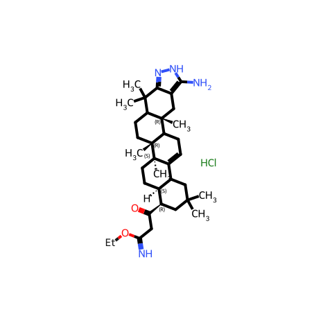 CCOC(=N)CC(=O)[C@@H]1CC(C)(C)CC2C3=CCC4[C@@]5(C)Cc6c(n[nH]c6N)C(C)(C)C5CC[C@@]4(C)[C@]3(C)CC[C@@H]21.Cl